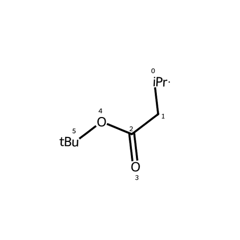 C[C](C)CC(=O)OC(C)(C)C